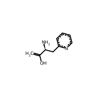 C=C(O)[C@@H](N)Cc1ccccn1